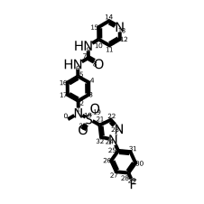 CN(c1ccc(NC(=O)Nc2ccncc2)cc1)S(=O)(=O)c1cnn(-c2ccc(F)cc2)c1